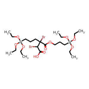 CCO[Si](CCCOC(=O)C(Br)(CCC[Si](OCC)(OCC)OCC)C(Br)C(=O)O)(OCC)OCC